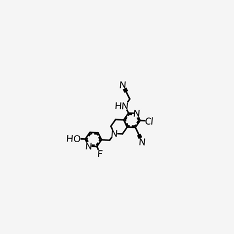 N#CCNc1nc(Cl)c(C#N)c2c1CCN(Cc1ccc(O)nc1F)C2